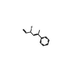 C=CC(F)C=C(C)c1ccccc1